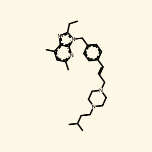 CCc1nc2c(C)cc(C)nc2n1Cc1ccc(C=CCN2CCN(CCC(C)C)CC2)cc1